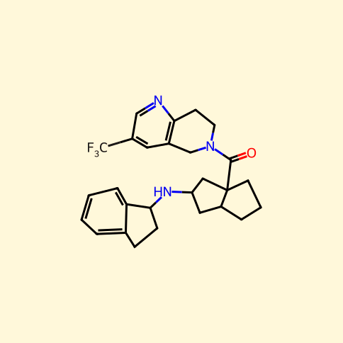 O=C(N1CCc2ncc(C(F)(F)F)cc2C1)C12CCCC1CC(NC1CCc3ccccc31)C2